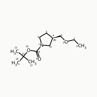 CCOC[C@@H]1CCN(C(=O)OC(C)(C)C)C1